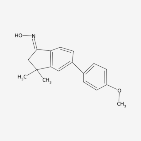 COc1ccc(-c2ccc3c(c2)C(C)(C)CC3=NO)cc1